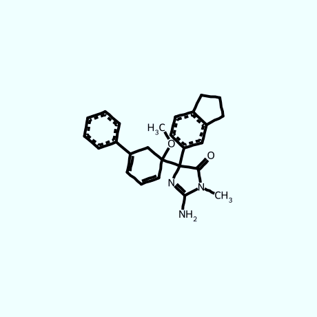 COC1(C2(c3ccc4c(c3)CCC4)N=C(N)N(C)C2=O)C=CC=C(c2ccccc2)C1